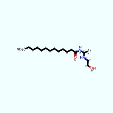 CCCCCCCCCCCCCCCCCCCCCC(=O)NC(CC)NCCO